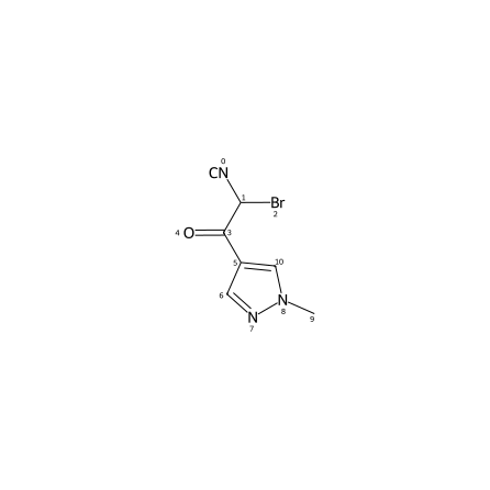 [C-]#[N+]C(Br)C(=O)c1cnn(C)c1